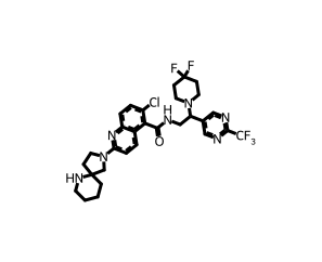 O=C(NCC(c1cnc(C(F)(F)F)nc1)N1CCC(F)(F)CC1)c1c(Cl)ccc2nc(N3CCC4(CCCCN4)C3)ccc12